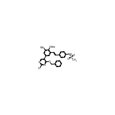 COc1c(C=Cc2ccc(NS(C)(=O)=O)cc2)cc(-c2cnc(Cl)nc2OCc2ccccc2)cc1C(C)(C)C